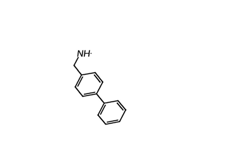 [NH]Cc1ccc(-c2ccccc2)cc1